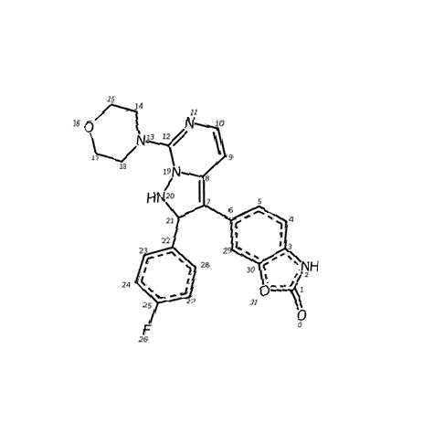 O=c1[nH]c2ccc(C3=C4C=CN=C(N5CCOCC5)N4NC3c3ccc(F)cc3)cc2o1